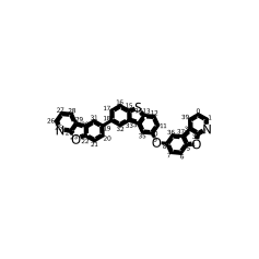 c1cnc2oc3ccc(Oc4ccc5sc6ccc(-c7ccc8oc9ncccc9c8c7)cc6c5c4)cc3c2c1